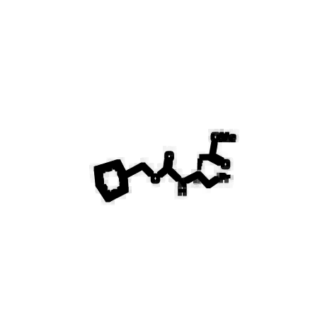 COC(=O)C[C@H](CC(C)C)NC(=O)OCc1ccccc1